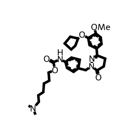 COc1ccc(C2=NN(Cc3ccc(NC(=O)OCCCCCCN(C)C)cc3)C(=O)CC2)cc1OC1CCCC1